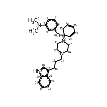 CN(C)c1cccc(OC2(N3CCN(CCCc4c[nH]c5ccccc45)CC3)C=CC=CC2)c1